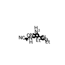 CCOc1cc(CC)c(-c2cc(N)c3cnc(NC(=O)[C@H]4C[C@@H]4C#N)cc3c2)cn1